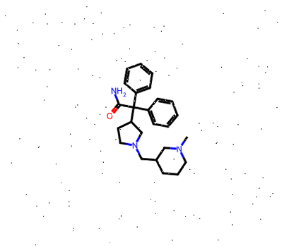 CN1CCCC(CN2CCC(C(C(N)=O)(c3ccccc3)c3ccccc3)C2)C1